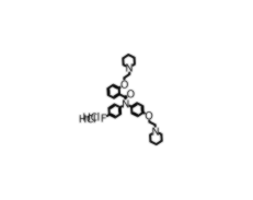 Cl.Cl.O=C(c1ccccc1OCCN1CCCCC1)N(c1ccc(F)cc1)c1ccc(OCCN2CCCCC2)cc1